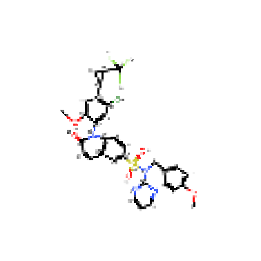 COc1ccc(CN(c2ncccn2)S(=O)(=O)c2ccc3c(ccc(=O)n3-c3cc(Cl)c(C4CC4C(F)(F)F)cc3OC)c2)cc1